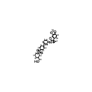 O=C(Nc1cccc(-c2ccc(S(=O)(=O)N3CCCC(CO)C3)cc2)n1)C1(c2ccc3c(c2)OCO3)CC1